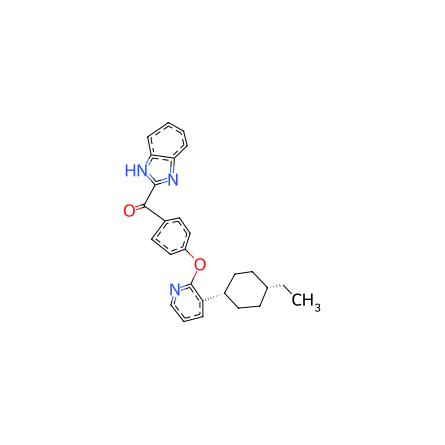 CC[C@H]1CC[C@@H](c2cccnc2Oc2ccc(C(=O)c3nc4ccccc4[nH]3)cc2)CC1